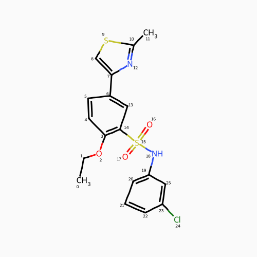 CCOc1ccc(-c2csc(C)n2)cc1S(=O)(=O)Nc1cccc(Cl)c1